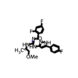 COC[C@H](C)N/C(=N/C(=O)c1ccc(F)cc1F)Nc1cc(-c2ccc(F)cc2)[nH]n1